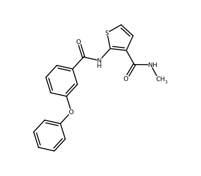 CNC(=O)c1ccsc1NC(=O)c1cccc(Oc2ccccc2)c1